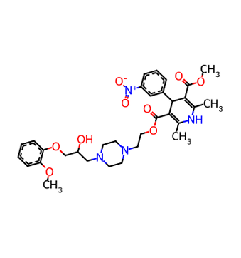 COC(=O)C1=C(C)NC(C)=C(C(=O)OCCN2CCN(CC(O)COc3ccccc3OC)CC2)C1c1cccc([N+](=O)[O-])c1